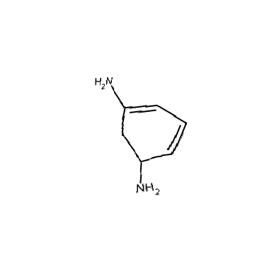 NC1=CC=CC(N)C1